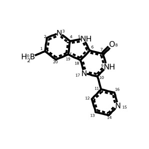 Bc1cnc2[nH]c3c(=O)[nH]c(-c4cccnc4)nc3c2c1